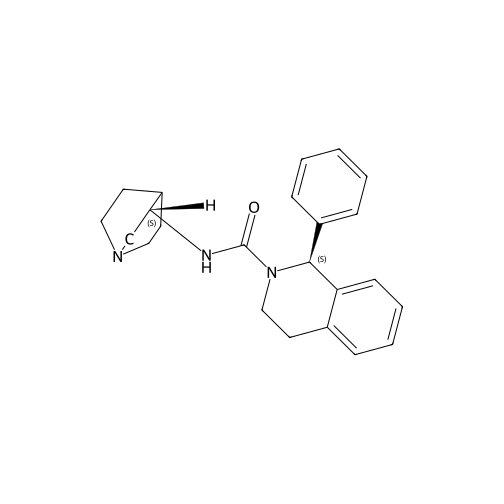 O=C(N[C@@H]1CN2CCC1CC2)N1CCc2ccccc2[C@@H]1c1ccccc1